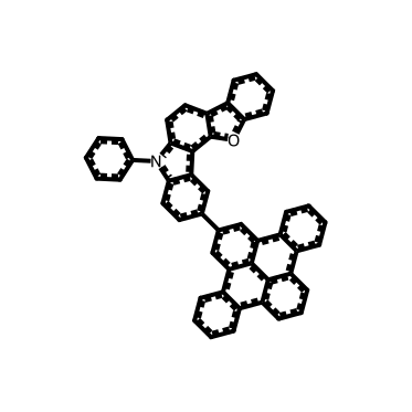 c1ccc(-n2c3ccc(-c4cc5c6ccccc6c6cccc7c8ccccc8c(c4)c5c67)cc3c3c4oc5ccccc5c4ccc32)cc1